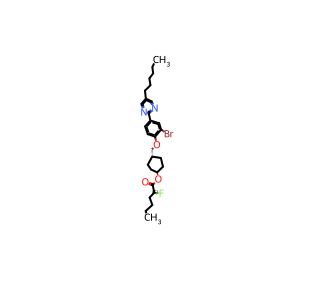 CCCCCCc1cnc(-c2ccc(OC[C@H]3CC[C@H](OC(=O)[C@@H](F)CCCC)CC3)c(Br)c2)nc1